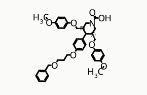 COc1ccc(OC[C@@H]2CN(C(=O)O)C[C@H](COc3ccc(OC)cc3)C2c2ccc(OCCCOCc3ccccc3)cc2)cc1